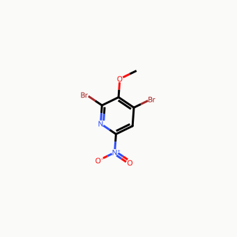 COc1c(Br)cc([N+](=O)[O-])nc1Br